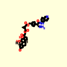 C[C@]12C=CC(=O)C=C1CC[C@@H]1C2[C@@H](O)C[C@@]2(O)C1CC[C@@H]2C(=O)COC(=O)C1CC1C(=O)OCc1ccc([C@@H](CN)C(=O)Nc2ccc3cnccc3c2)cc1